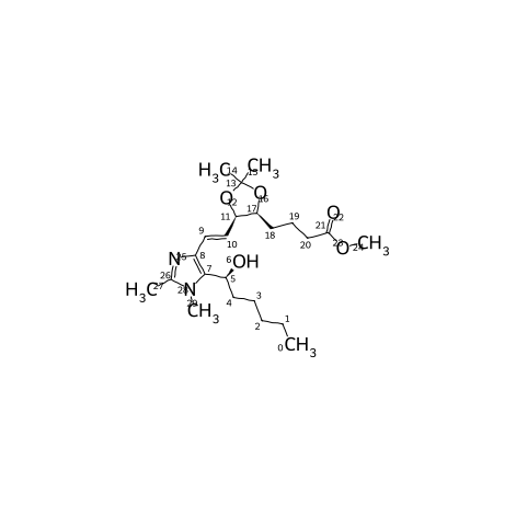 CCCCC[C@H](O)c1c(/C=C/[C@H]2OC(C)(C)O[C@H]2CCCC(=O)OC)nc(C)n1C